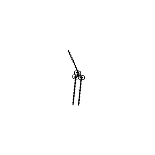 CC#CC#CC#CC#CC#CC#CC#CC#CC(=O)OCC(COC(=O)C#CC#CC#CC#CC#CC#CC#CC#CC)OC(=O)CCCCCCC/C=C/CCCCCCCC